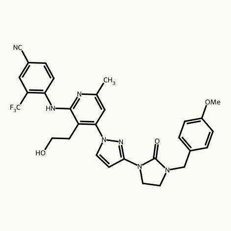 COc1ccc(CN2CCN(c3ccn(-c4cc(C)nc(Nc5ccc(C#N)cc5C(F)(F)F)c4CCO)n3)C2=O)cc1